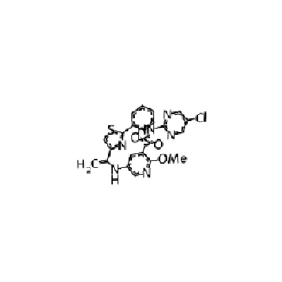 C=C(Nc1cnc(OC)c(S(=O)(=O)Nc2ncc(Cl)cn2)c1)c1csc(-c2ccccc2)n1